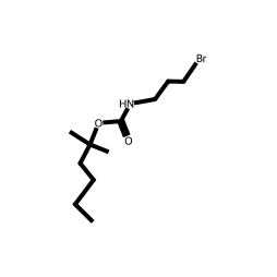 CCCCC(C)(C)OC(=O)NCCCBr